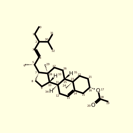 CCC(/C=C/[C@@H](C)[C@H]1CC[C@H]2[C@@H]3CC=C4C[C@@H](OC(C)=O)CC[C@]4(C)[C@H]3CC[C@]12C)C(C)C